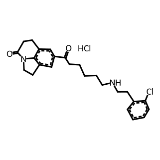 Cl.O=C(CCCCCNCCc1ccccc1Cl)c1cc2c3c(c1)CCN3C(=O)CC2